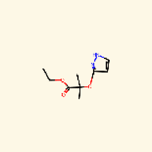 CCOC(=O)C(C)(C)Oc1cc[nH]n1